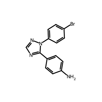 Nc1ccc(-c2ncnn2-c2ccc(Br)cc2)cc1